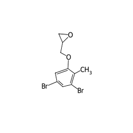 Cc1c(Br)cc(Br)cc1OCC1CO1